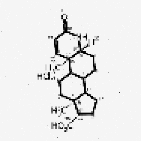 C[C@]12CCC3C(CC[C@H]4NC(=O)C=C[C@]34C)C1CC[C@@H]2C(=O)O.Cl